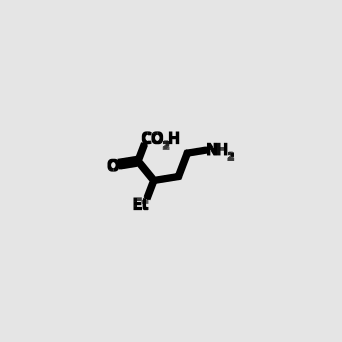 CCC(CCN)C(=O)C(=O)O